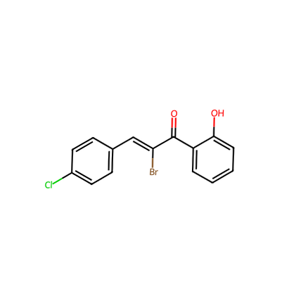 O=C(C(Br)=Cc1ccc(Cl)cc1)c1ccccc1O